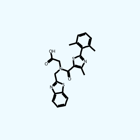 Cc1cccc(C)c1-c1nc(C)c(C(=O)N(CC(=O)O)Cc2nc3ccccc3s2)s1